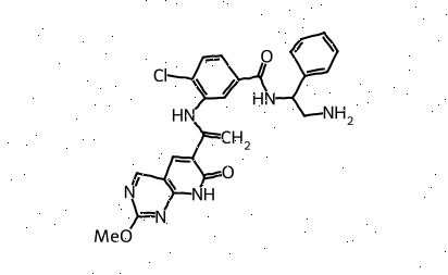 C=C(Nc1cc(C(=O)NC(CN)c2ccccc2)ccc1Cl)c1cc2cnc(OC)nc2[nH]c1=O